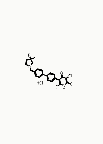 Cc1[nH]c(C)c(-c2ccc(-c3ccc(CN4CCC(F)(F)C4)cc3)cc2)c(=O)c1Cl.Cl